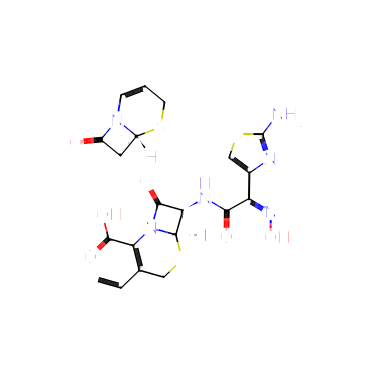 C=CC1=C(C(=O)O)N2C(=O)[C@@H](NC(=O)/C(=N\O)c3csc(N)n3)[C@H]2SC1.O=C1C[C@H]2SCC=CN12